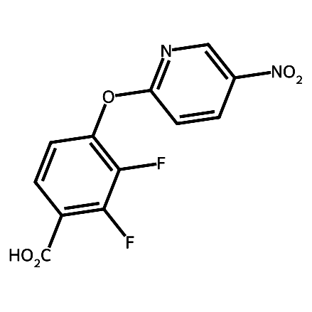 O=C(O)c1ccc(Oc2ccc([N+](=O)[O-])cn2)c(F)c1F